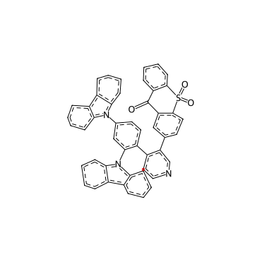 O=C1c2ccccc2S(=O)(=O)c2ccc(-c3cnccc3-c3ccc(-n4c5ccccc5c5ccccc54)cc3-n3c4ccccc4c4ccccc43)cc21